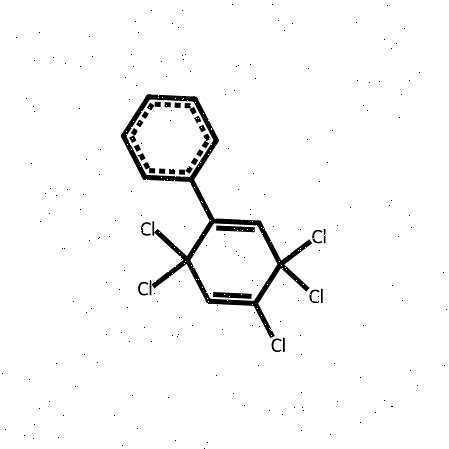 ClC1=CC(Cl)(Cl)C(c2ccccc2)=CC1(Cl)Cl